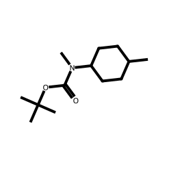 CC1CCC(N(C)C(=O)OC(C)(C)C)CC1